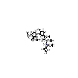 Cc1ccc(NC(O)C(=N)/C=C(\O)C2CCC2)cc1-c1cnc(N(C)C)c(C#N)c1